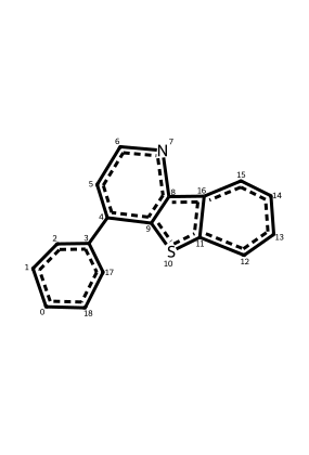 c1ccc(-c2ccnc3c2sc2ccccc23)cc1